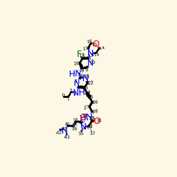 CCCNc1nc(Nc2cnc(N3CCOCC3)c(F)c2)ncc1C#CCCCNC(=O)[C@H](C)N(C)C(=O)/C=C/CN(C)C